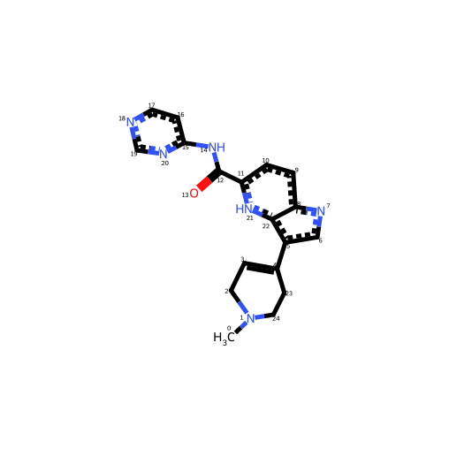 CN1CC=C(c2cnc3ccc(C(=O)Nc4ccncn4)[nH]c2-3)CC1